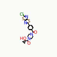 O=C(c1ccc(-c2nc3sc(Cl)nc3s2)cc1)N1CCN(C(=O)C2(O)CC2)CC1